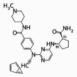 C#CN(c1ccc(C(=O)NC2CCN(C)CC2)cc1)c1nccc(N[C@@H]2CCC[C@@H]2C(N)=O)n1.c1cc2cc-2c1